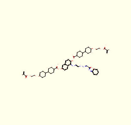 C=C(C(=O)OCCOC1CCC(C2CCC(C(=O)Oc3ccc4c(N/C=C/N/N=C/c5nc6ccccc6o5)c(OC(=O)C5CCC(C6CCC(OCCOC(=O)C(=C)C(F)(F)F)CC6)CC5)ccc4c3)CC2)CC1)C(F)(F)F